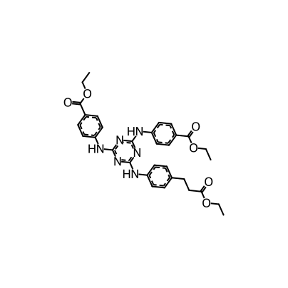 CCOC(=O)CCc1ccc(Nc2nc(Nc3ccc(C(=O)OCC)cc3)nc(Nc3ccc(C(=O)OCC)cc3)n2)cc1